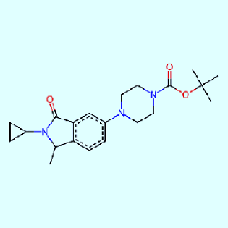 CC1c2ccc(N3CCN(C(=O)OC(C)(C)C)CC3)cc2C(=O)N1C1CC1